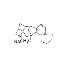 CNN1CC2CC3C4CC(C)(CC231)c1c4ccc2c1CCCC2